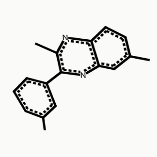 Cc1cccc(-c2nc3cc(C)ccc3nc2C)c1